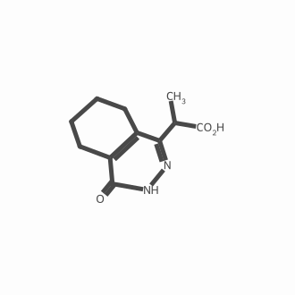 CC(C(=O)O)c1n[nH]c(=O)c2c1CCCC2